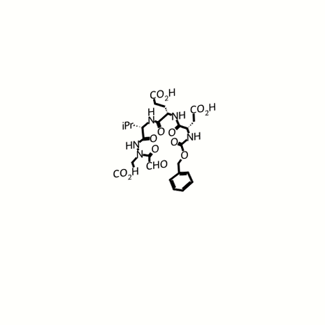 CC(C)[C@H](NC(=O)[C@H](CCC(=O)O)NC(=O)[C@H](CC(=O)O)NC(=O)OCc1ccccc1)C(=O)NN(CC(=O)O)C(=O)C=O